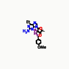 CCc1nc(N)nc2c1ncn2[C@@H]1O[C@H](C)[C@@H](OCc2ccc(OC)cc2)[C@@]1(C)P